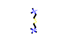 C[N+](C)(C)CCSCC[N+](C)(C)C